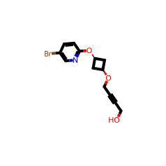 OCC#CCO[C@H]1C[C@H](Oc2ccc(Br)cn2)C1